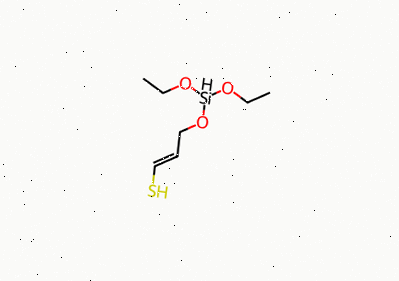 CCO[SiH](OCC)OCC=CS